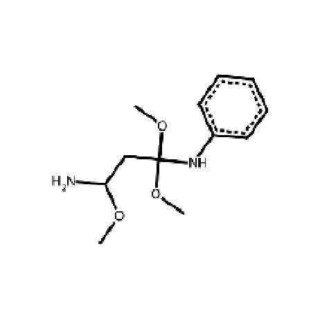 COC(N)CC(Nc1ccccc1)(OC)OC